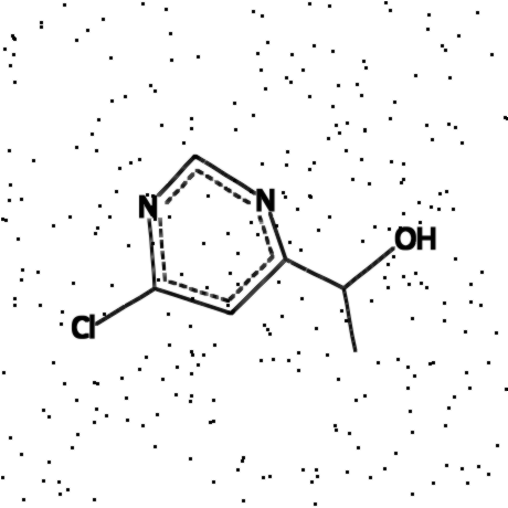 CC(O)c1cc(Cl)ncn1